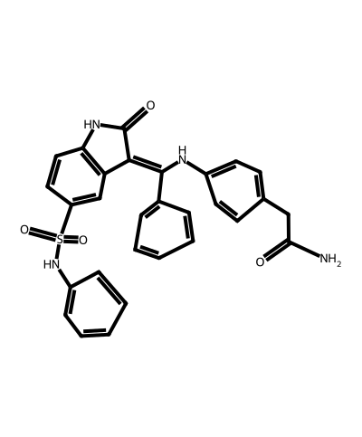 NC(=O)Cc1ccc(N/C(=C2\C(=O)Nc3ccc(S(=O)(=O)Nc4ccccc4)cc32)c2ccccc2)cc1